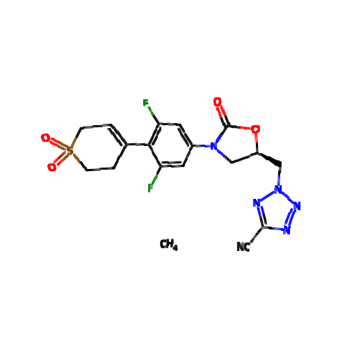 C.N#Cc1nnn(C[C@H]2CN(c3cc(F)c(C4=CCS(=O)(=O)CC4)c(F)c3)C(=O)O2)n1